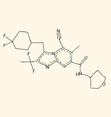 Cc1c(C(=O)NC2CCOCC2)cc2nc(C(C)(F)F)c(CC3CCC(F)(F)CC3)n2c1C#N